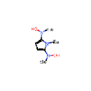 CCC(C)n1c(N(O)C(C)(C)C)ccc1N(O)C(C)(C)C